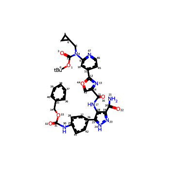 CC(C)(C)OC(=O)N(CC1CC1)c1cc(-c2nc(C(=O)Nc3c(C(N)=O)n[nH]c3-c3ccc(NC(=O)OCc4ccccc4)cc3)co2)ccn1